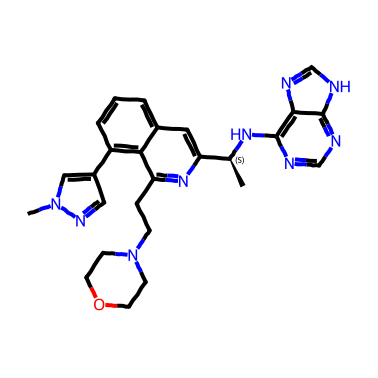 C[C@H](Nc1ncnc2[nH]cnc12)c1cc2cccc(-c3cnn(C)c3)c2c(CCN2CCOCC2)n1